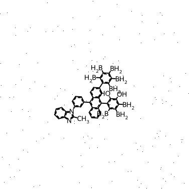 Bc1c(B)c(B)c(-c2ccc3c(-c4cccc(-n5c(C)nc6ccccc65)c4)c4ccccc4c(-c4c(B)c(B)c(B)c(O)c4O)c3c2)c(B)c1B